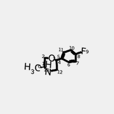 C[C@H]1COC(c2ccc(F)cc2)CN1